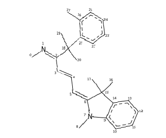 C\N=C(/C=C/C=C1/N(C)c2ccccc2C1(C)C)C(C)(C)c1ccccc1C